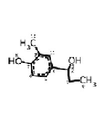 CCC(O)c1ccc(O)c(C)c1